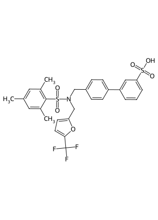 Cc1cc(C)c(S(=O)(=O)N(Cc2ccc(-c3cccc(S(=O)(=O)O)c3)cc2)Cc2ccc(C(F)(F)F)o2)c(C)c1